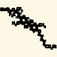 CCOC(=O)CCCCCOc1ccc(C(CC)(CC)c2ccc(C=CC(OCOC)(C(F)(F)F)C(F)(F)F)c(C)c2)cc1C